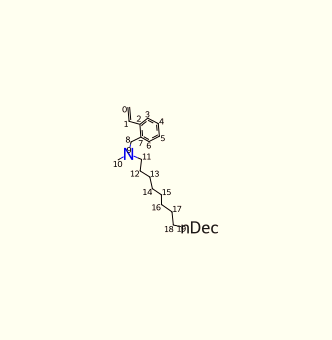 C=Cc1ccccc1CN(C)CCCCCCCCCCCCCCCCCC